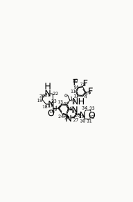 CC(Nc1cc(F)c(F)c(F)c1)c1cc(C(=O)N2CCCNCC2)cc2ncc(N3CCOCC3)nc12